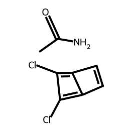 CC(N)=O.Clc1c2ccc-2c1Cl